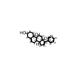 C[C@]12CC[C@H](O)CC1=CCC1C2CC[C@]2(C)C(c3cccnc3)=CC[C@@H]12